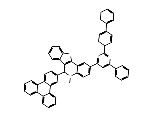 CN1c2ccc(-c3cc(-c4ccccc4)nc(C4C=CC(C5=CC=CCC5)=CC4)n3)cc2-c2sc3ccccc3c2C1c1ccc2c3ccccc3c3ccccc3c2c1